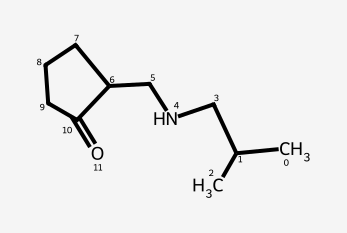 CC(C)CNCC1CCCC1=O